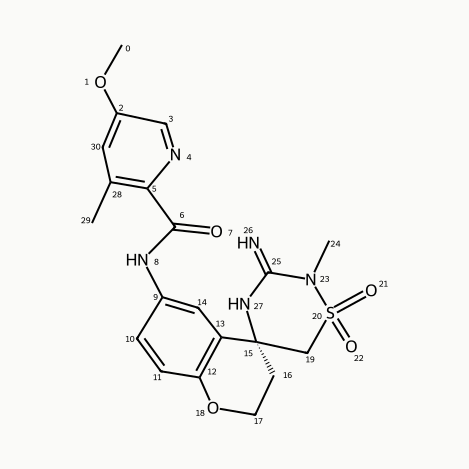 COc1cnc(C(=O)Nc2ccc3c(c2)[C@]2(CCO3)CS(=O)(=O)N(C)C(=N)N2)c(C)c1